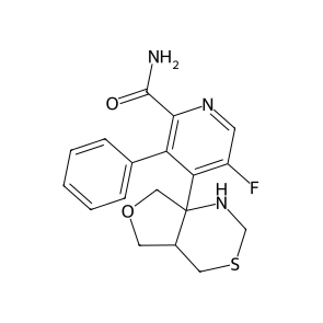 NC(=O)c1ncc(F)c(C23COCC2CSCN3)c1-c1ccccc1